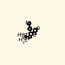 C=C[C@@H]1CC2C3CCC4=CC(=O)CCC4=C3[C@@H](c3ccc(-c4cccnc4)cc3)C[C@]2(C)C1C(C)=O